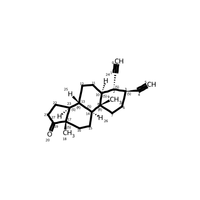 C#C[C@@H]1[C@@H](C#C)CC[C@@]2(C)[C@H]1CC[C@@H]1[C@@H]2CC[C@]2(C)C(=O)CC[C@@H]12